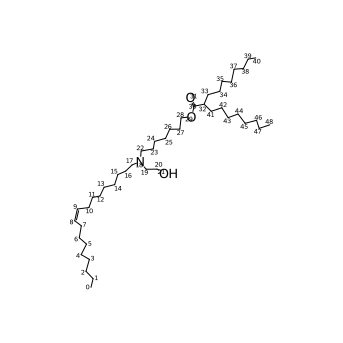 CCCCCCCC/C=C\CCCCCCCCN(CCO)CCCCCCCOC(=O)C(CCCCCCCC)CCCCCCCC